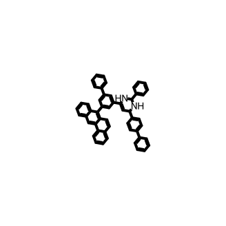 C1=C(c2cc(-c3ccccc3)cc(-c3c4ccccc4cc4c3ccc3ccccc34)c2)NC(c2ccccc2)NC1c1ccc(-c2ccccc2)cc1